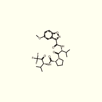 COc1ccc2onc(C(=O)N[C@H](C(=O)N3CCC[C@H]3C(=O)N[C@H](C(=O)C(F)(F)F)C(C)C)C(C)C)c2c1